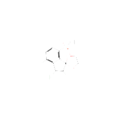 CS(=O)(=O)c1ccc(F)c2c1C1(OCCO1)C(F)C2F